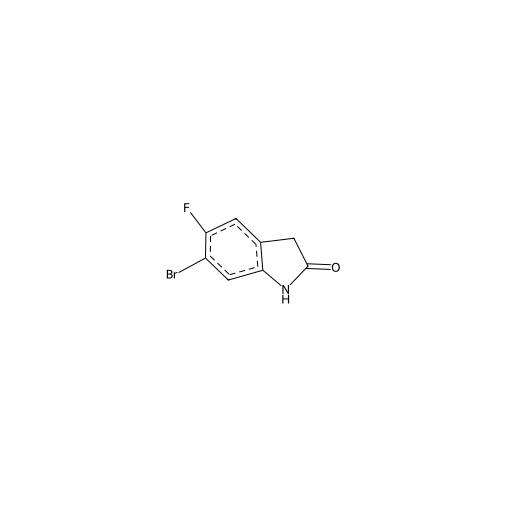 O=C1Cc2cc(F)c(Br)cc2N1